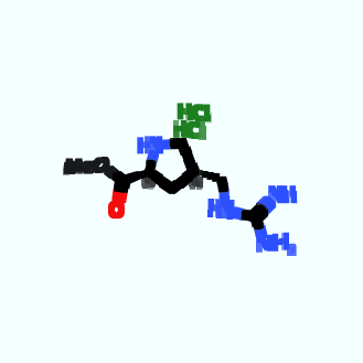 COC(=O)[C@@H]1C[C@@H](CNC(=N)N)CN1.Cl.Cl